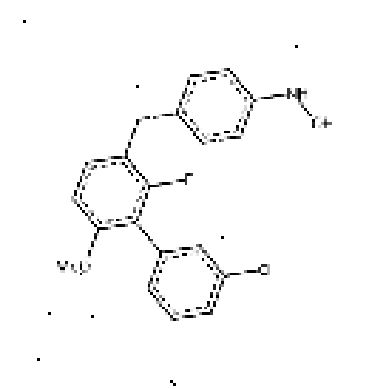 COc1ccc(Cc2ccc(NO)cc2)c(F)c1-c1cccc(Cl)c1